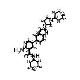 Nc1ncc(-c2ccc3nn(C4CCN(C5CCOCC5)C4)cc3c2)cc1C(=O)NC1CCOCC1